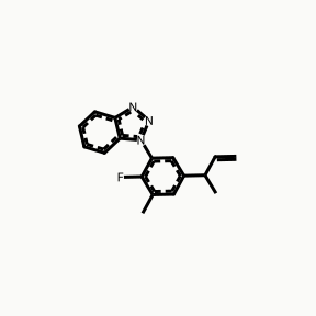 C=CC(C)c1cc(C)c(F)c(-n2nnc3ccccc32)c1